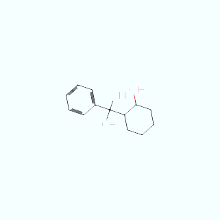 CC(C)(c1ccccc1)C1CCCCC1O